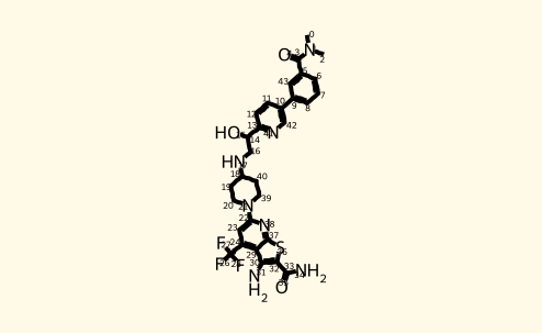 CN(C)C(=O)c1cccc(-c2ccc(C(O)CNC3CCN(c4cc(C(F)(F)F)c5c(N)c(C(N)=O)sc5n4)CC3)nc2)c1